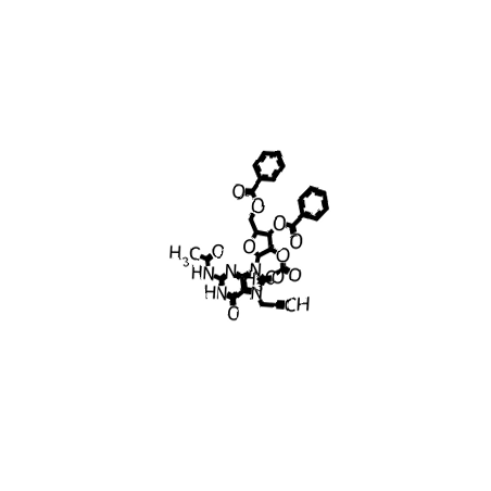 C#CCn1c(=O)n(C2OC(COC(=O)c3ccccc3)C(OC(=O)c3ccccc3)C2OC(C)=O)c2nc(NC(C)=O)[nH]c(=O)c21